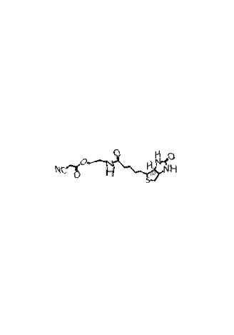 N#CCC(=O)OCCNC(=O)CCCCC1SCC2NC(=O)N[C@@H]21